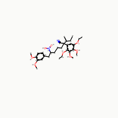 CCOc1cc(C(C#N)(CCCC(Cc2ccc(OC)c(OC)c2)[N+](=O)[O-])C(C)CC)c(OCC)c(OC)c1OC